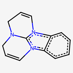 C1=Cn2c3[n+](c4ccccc42)C=CCN3C1